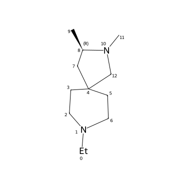 CCN1CCC2(CC1)C[C@@H](C)N(C)C2